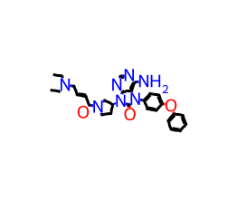 CCN(CC)CC=CC(=O)N1CC[C@H](n2c(=O)n(-c3ccc(Oc4ccccc4)cc3)c3c(N)ncnc32)C1